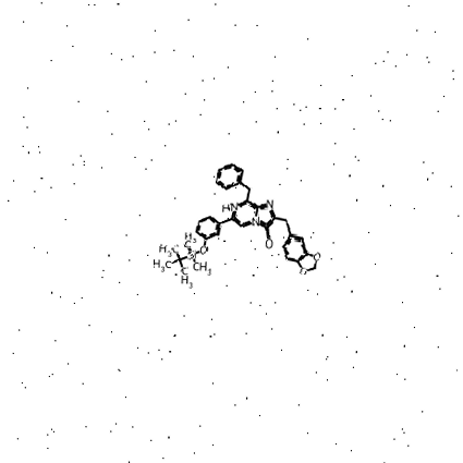 CC(C)(C)[Si](C)(C)Oc1cccc(-c2cn3c(=O)c(Cc4ccc5c(c4)OCO5)nc-3c(Cc3ccccc3)[nH]2)c1